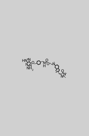 CC1=N/C(=C/c2cc3ccc(N(C)CCOC(=O)NCc4ccc(COc5nc(N)nc6[nH]cnc56)cc4)cc3s2)C(=O)N1C